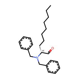 CCCCCCCC[C@H](C=O)N(Cc1ccccc1)Cc1ccccc1